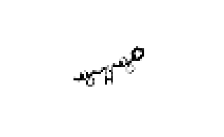 CCOC(=O)CCCNCCOC(=O)c1ccccc1